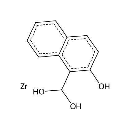 Oc1ccc2ccccc2c1C(O)O.[Zr]